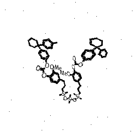 COc1cc(CCC[Si](C)(C)O[Si](C)(C)O[Si](C)(C)CCCc2ccc(OC(=O)Oc3ccc(C4(c5ccc(C)cc5)CCCCC4)cc3)c(OC)c2)ccc1OC(=O)Oc1ccc(C2(c3ccccc3)CCCCC2)cc1